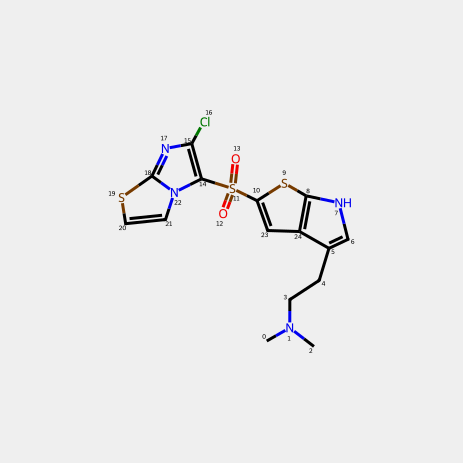 CN(C)CCc1c[nH]c2sc(S(=O)(=O)c3c(Cl)nc4sccn34)cc12